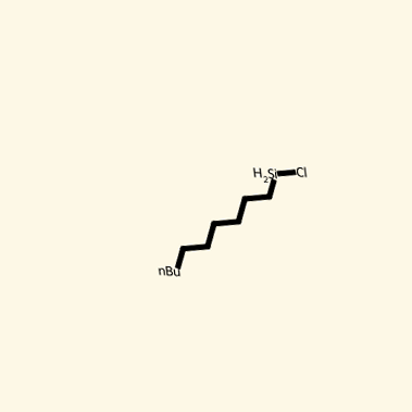 CCCCCCCCCC[SiH2]Cl